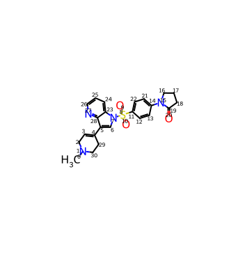 CN1CC=C(c2cn(S(=O)(=O)c3ccc(N4CCCC4=O)cc3)c3cccnc23)CC1